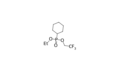 CCOP(=O)(OCC(F)(F)F)C1CCCCC1